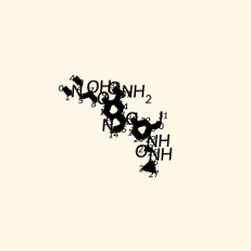 CCN(CC)C[C@@H](O)COc1cc2nccc(Oc3ccc(NC(=O)NC4CC4)c(CI)c3)c2cc1C(N)=O